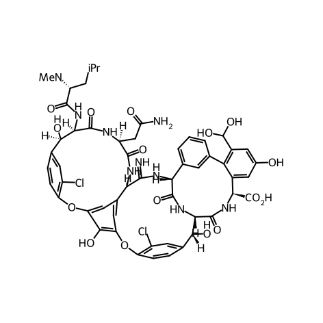 CN[C@H](CC(C)C)C(=O)N[C@H]1C(=O)N[C@@H](CC(N)=O)C(=O)N[C@H]2C(=N)N[C@H]3C(=O)N[C@H](C(=O)N[C@H](C(=O)O)c4cc(O)cc(C(O)O)c4-c4cccc3c4)[C@H](O)c3ccc(c(Cl)c3)Oc3cc2cc(c3O)Oc2ccc(cc2Cl)[C@H]1O